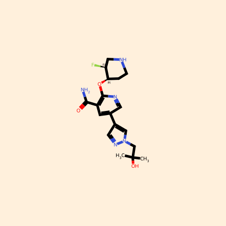 CC(C)(O)Cn1cc(-c2cnc(O[C@@H]3CCNC[C@@H]3F)c(C(N)=O)c2)cn1